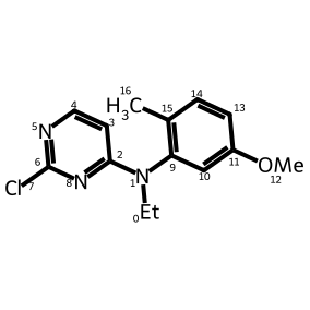 CCN(c1ccnc(Cl)n1)c1cc(OC)ccc1C